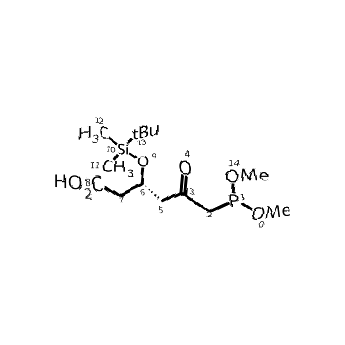 COP(CC(=O)C[C@H](CC(=O)O)O[Si](C)(C)C(C)(C)C)OC